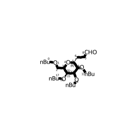 CCCCOCC1O[C@H](CCC=O)C(OCCCC)C(OCCCC)[C@H]1OCCCC